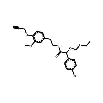 C#CCOc1ccc(CCNC(=O)C(OCOCC)c2ccc(Br)cc2)cc1OC